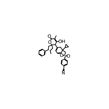 CCCC1(CCc2ccccc2)OC(=O)C(C)=C(O)C1C1=CC=CC(CS(=O)(=O)c2ccc(C#N)cc2)(C2CC2)C1